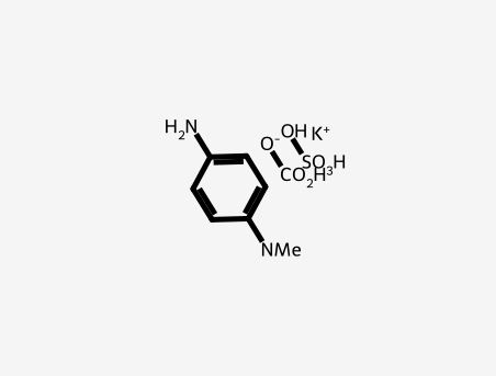 CNc1ccc(N)cc1.O=C([O-])O.O=S(=O)(O)O.[K+]